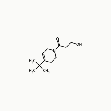 CC(C)(C)C1=CCN(C(=O)CCO)CC1